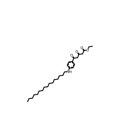 CCCCCCCCCCCCCCCCNc1ccc(C(=O)CC(=O)CC(=O)OCC)cc1